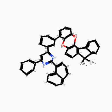 CC1(C)c2ccccc2-c2c1ccc1c2Oc2cccc(-c3cccc(-c4cc(-c5ccccc5)nc(-c5cccc6ccccc56)n4)c3)c2O1